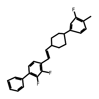 Cc1ccc(C2CCC(/C=C/c3ccc(-c4ccccc4)c(F)c3F)CC2)cc1F